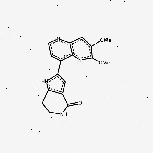 COc1cc2nccc(-c3cc4c([nH]3)CCNC4=O)c2nc1OC